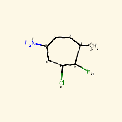 CC1CCC(N)CC(Cl)C1F